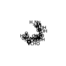 Cc1cc2nc3c(=O)[nH]c(=O)nc-3n(C[C@H](O)[C@H](O)[C@H](O)COP(=O)(O)OP(=O)(O)OC[C@H]3O[C@@H](n4cnc5c(N)ncnc54)[C@H](O)[C@@H]3O)c2cc1C=O